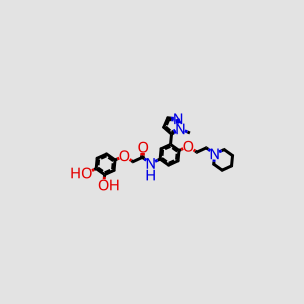 Cn1nccc1-c1cc(NC(=O)COc2ccc(O)c(O)c2)ccc1OCCN1CCCCC1